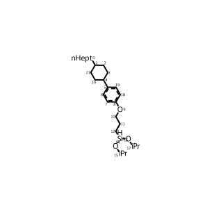 CCCCCCCC1CCC(c2ccc(OCCC[SiH](OC(C)C)OC(C)C)cc2)CC1